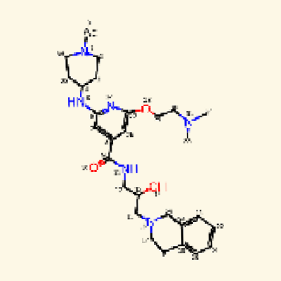 CC(=O)N1CCC(Nc2cc(C(=O)NCC(O)CN3CCc4ccccc4C3)cc(OCCN(C)C)n2)CC1